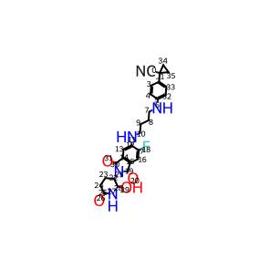 N#CC1(c2ccc(NCCCCNc3cc4c(cc3F)C(=O)N(C3CCC(=O)NC3O)C4=O)cc2)CC1